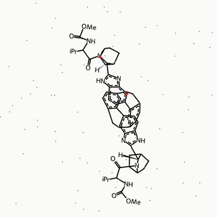 COC(=O)NC(C(=O)N1C2CCC(CC2)[C@H]1c1nc2cc(-c3cc4ccc3CCc3ccc(c(-c5ccc6[nH]c([C@@H]7C8CCC(CC8)N7C(=O)C(NC(=O)OC)C(C)C)nc6c5)c3)CC4)ccc2[nH]1)C(C)C